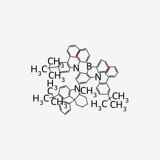 CC(C)(C)c1ccc(N2c3ccccc3B3c4ccccc4N(c4ccc(C(C)(C)C)cc4-c4ccccc4)c4cc(N5c6ccc(C(C)(C)C)cc6C6(c7ccccc7)CCCCC56C)cc2c43)c(-c2ccccc2)c1